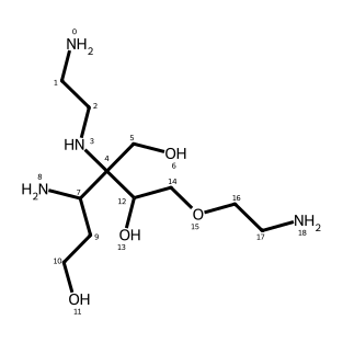 NCCNC(CO)(C(N)CCO)C(O)COCCN